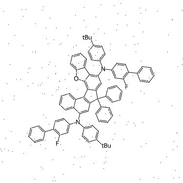 CC(C)(C)c1ccc(N(c2ccc(-c3ccccc3)c(F)c2)c2cc3c(c4ccccc24)-c2c(cc(N(c4ccc(C(C)(C)C)cc4)c4ccc(-c5ccccc5)c(F)c4)c4c2oc2ccccc24)C3(c2ccccc2)c2ccccc2)cc1